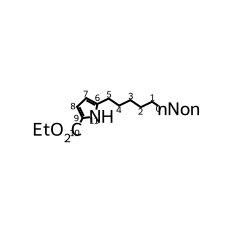 CCCCCCCCCCCCCCc1ccc(C(=O)OCC)[nH]1